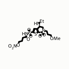 CCN[C@H]1CN(CCCOC)S(=O)(=O)c2sc(S(=O)(=O)NC(=O)CCCO[N+](=O)[O-])cc21